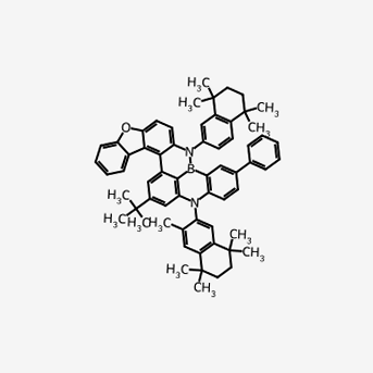 Cc1cc2c(cc1N1c3ccc(-c4ccccc4)cc3B3c4c(cc(C(C)(C)C)cc41)-c1c(ccc4oc5ccccc5c14)N3c1ccc3c(c1)C(C)(C)CCC3(C)C)C(C)(C)CCC2(C)C